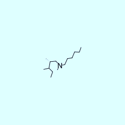 CCCCCCN(C)C[C@@H](C)C(C)CC